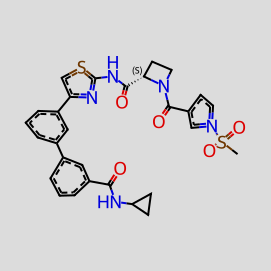 CS(=O)(=O)n1ccc(C(=O)N2CC[C@H]2C(=O)Nc2nc(-c3cccc(-c4cccc(C(=O)NC5CC5)c4)c3)cs2)c1